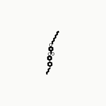 C=CCCCCCCCOc1ccc(C(=O)Oc2ccc([C@H]3CC[C@H](CCCCC)CC3)cc2)cc1